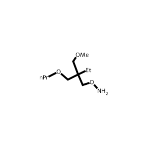 CCCOCC(CC)(COC)CON